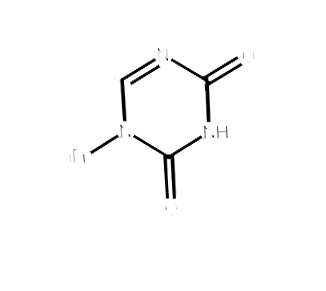 CC(C)n1cnc(=O)[nH]c1=O